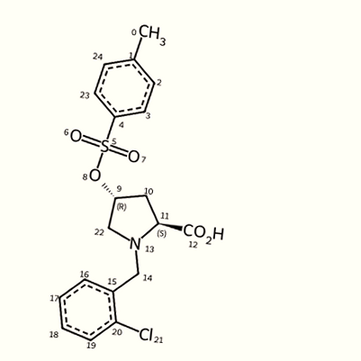 Cc1ccc(S(=O)(=O)O[C@@H]2C[C@@H](C(=O)O)N(Cc3ccccc3Cl)C2)cc1